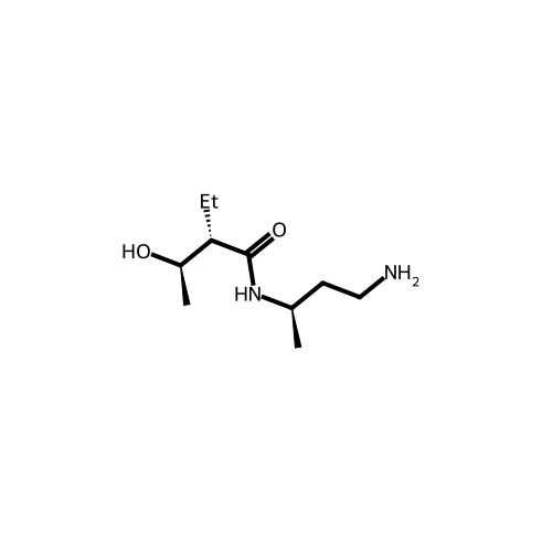 CC[C@H](C(=O)N[C@H](C)CCN)[C@@H](C)O